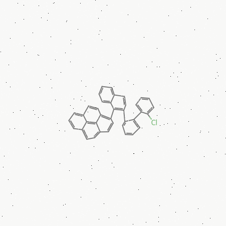 Clc1ccccc1-c1ccccc1-c1ccc2ccccc2c1-c1ccc2ccc3cccc4ccc1c2c34